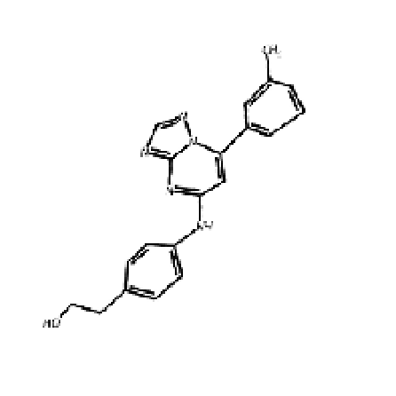 Cc1cccc(-c2cc(Nc3ccc(CCO)cc3)nc3ncnn23)c1